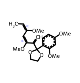 C=C(/C(=C\C(=C/C)OC)OC)C1(c2ccc(OC)cc2OC)OCCO1